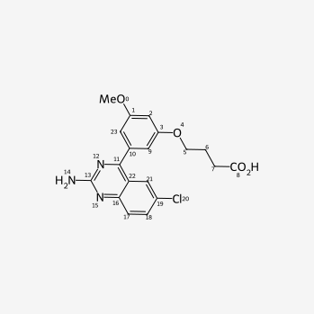 COc1cc(OCCCC(=O)O)cc(-c2nc(N)nc3ccc(Cl)cc23)c1